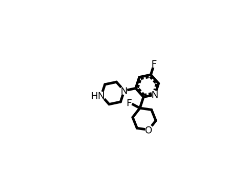 Fc1cnc(C2(F)CCOCC2)c(N2CCNCC2)c1